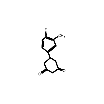 Cc1cc(C2CC(=O)CC(=O)C2)ccc1F